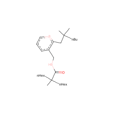 CCCCCCC(C)(CCCCCC)C(=O)BCc1cccbc1CC(C)(C)CCCC